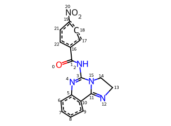 O=C(NC1=Nc2ccccc2C2=NCCN12)c1ccc([N+](=O)[O-])cc1